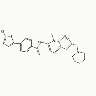 Cc1c(NC(=O)c2ccc(-c3ccc(Cl)s3)cc2)ccc2cc(CN3CCCCC3)cnc12